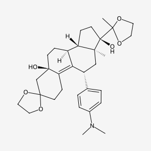 CN(C)c1ccc([C@H]2C[C@@]3(C)[C@@H](CC[C@]3(O)C3(C)OCCO3)[C@@H]3CC[C@@]4(O)CC5(CCC4=C32)OCCO5)cc1